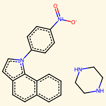 C1CNCCN1.O=[N+]([O-])c1ccc(-n2ccc3ccc4ccccc4c32)cc1